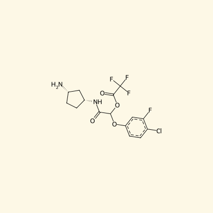 N[C@H]1CC[C@@H](NC(=O)C(OC(=O)C(F)(F)F)Oc2ccc(Cl)c(F)c2)C1